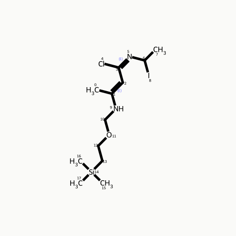 C/C(=C\C(Cl)=N/C(C)I)NCOCC[Si](C)(C)C